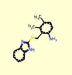 Cc1ccc(N)c(CSc2nc3ccccc3[nH]2)c1C